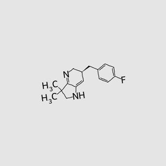 CC1(C)CNC2=C[C@H](Cc3ccc(F)cc3)CN=C21